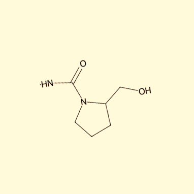 [NH]C(=O)N1CCCC1CO